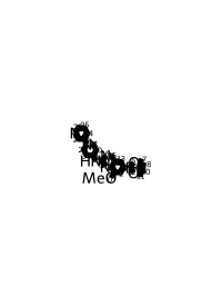 COc1cc(B2OC(C)(C)C(C)(C)O2)cc2cnc(NC3CCN(c4cccnc4)CC3)nc12